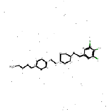 CCCCC[C@H]1CC[C@H](CC[C@H]2CC[C@H](CCc3cc(F)c(F)c(F)c3)CC2)CC1